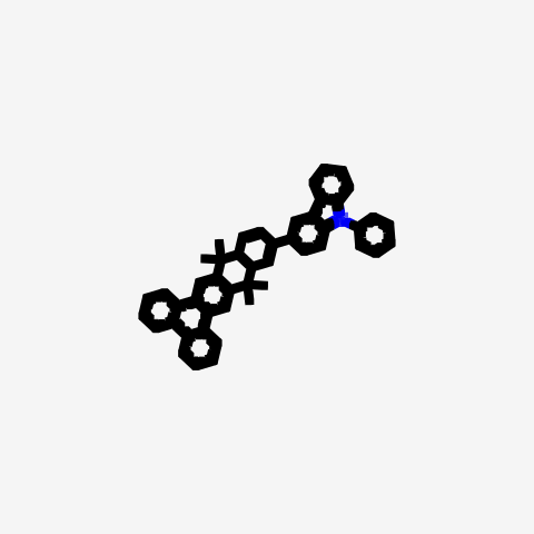 CC1(C)c2cc3c4ccccc4c4ccccc4c3cc2C(C)(C)C2C=C(c3ccc4c(c3)c3ccccc3n4-c3ccccc3)C=CC21